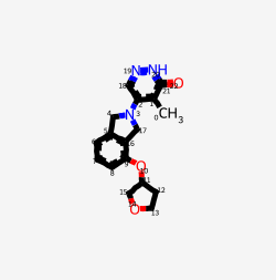 Cc1c(N2Cc3cccc(OC4CCOC4)c3C2)cn[nH]c1=O